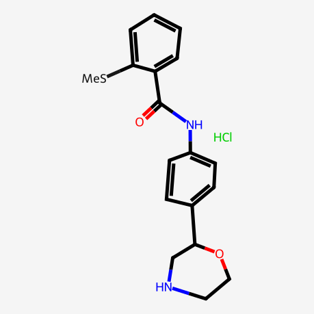 CSc1ccccc1C(=O)Nc1ccc(C2CNCCO2)cc1.Cl